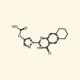 O=C(O)Oc1cnn(-c2nc3cc4c(cc3c(=O)[nH]2)CCCC4)c1